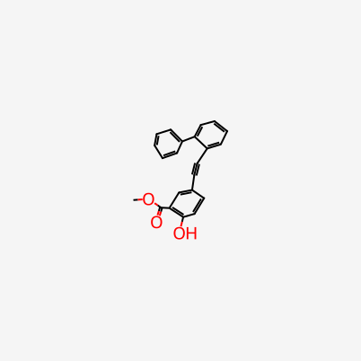 COC(=O)c1cc(C#Cc2ccccc2-c2ccccc2)ccc1O